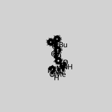 COc1ncccc1Nc1ncc2[nH]c(=O)n(C3CCC(CS(=O)(=O)N4CCCC(O[Si](c5ccccc5)(c5ccccc5)C(C)(C)C)C4)CC3)c2n1